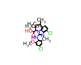 CCC(CC)c1ccc(Cl)c2nc(Nc3c(C)cc(Cl)cc3OC)n(C(C(=O)O)C(C)C)c12